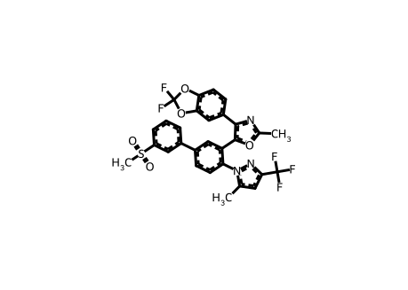 Cc1nc(-c2ccc3c(c2)OC(F)(F)O3)c(-c2cc(-c3cccc(S(C)(=O)=O)c3)ccc2-n2nc(C(F)(F)F)cc2C)o1